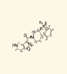 O=C(c1noc2c1CNCC2)N1CCC(c2ccccc2C(F)(F)F)CC1